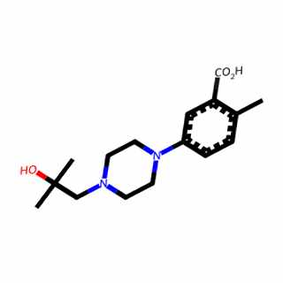 Cc1ccc(N2CCN(CC(C)(C)O)CC2)cc1C(=O)O